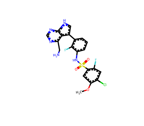 COc1cc(S(=O)(=O)Nc2cccc(-c3c[nH]c4ncnc(CN)c34)c2F)c(F)cc1Cl